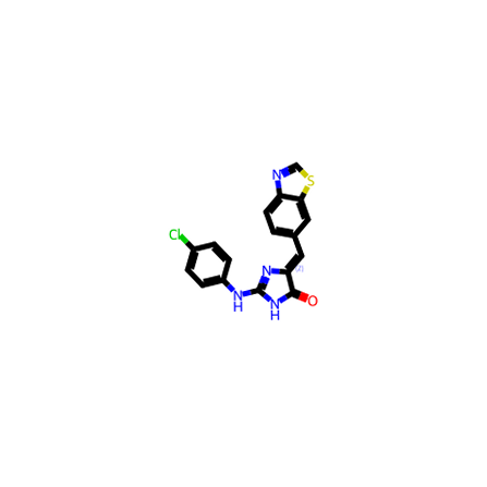 O=C1NC(Nc2ccc(Cl)cc2)=N/C1=C\c1ccc2ncsc2c1